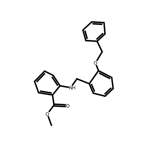 COC(=O)c1ccccc1NCc1ccccc1OCc1ccccc1